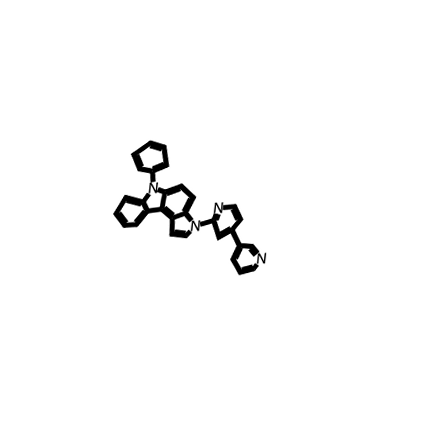 c1ccc(-n2c3ccccc3c3c4ccn(-c5cc(-c6cccnc6)ccn5)c4ccc32)cc1